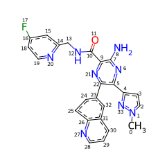 Cn1ccc(-c2nc(N)c(C(=O)NCc3cc(F)ccn3)nc2-c2ccc3ncccc3c2)n1